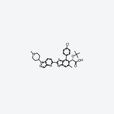 Cc1cc2nc(-c3ccc4c(cnn4C4CCN(C)CC4)n3)sc2c(-c2ccc(Cl)cc2)c1[C@H](OC(C)(C)C)C(=O)O